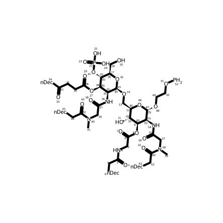 CCCCCCCCCCCC(=O)NCC(=O)O[C@H]1[C@H](O)[C@@H](CO[C@@H]2O[C@H](CO)[C@@H](OP(=O)(O)O)[C@H](OC(=O)CCC(=O)CCCCCCCCCC)[C@@H]2NC(=O)CN(C)C(=O)CCCCCCCCCCC)O[C@H](OCCOP)[C@H]1NC(=O)CN(C)C(=O)CCCCCCCCCCC